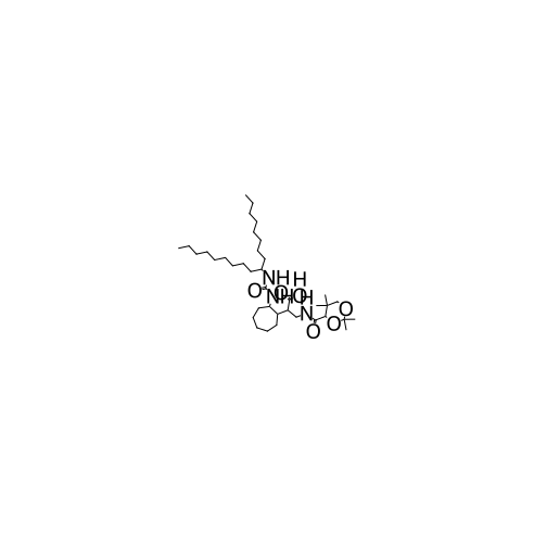 CCCCCCCCCC(CCCCCCCC)NC(=O)NC1CCCCCC1C(CNC(=O)C1OC(C)(C)OCC1(C)C)C(=O)O